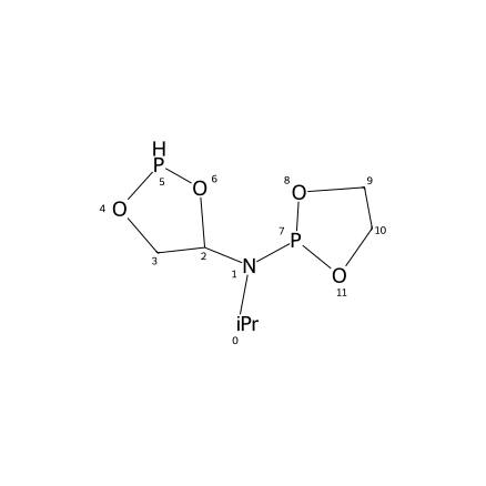 CC(C)N(C1COPO1)P1OCCO1